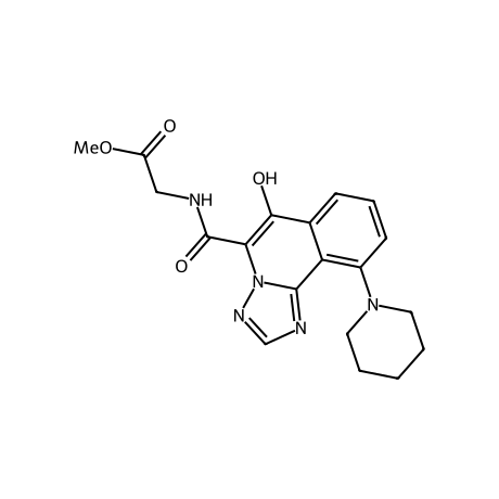 COC(=O)CNC(=O)c1c(O)c2cccc(N3CCCCC3)c2c2ncnn12